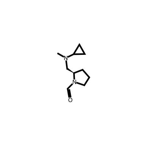 CN(C[C@H]1CCCN1C=O)C1CC1